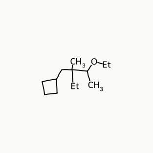 CCOC(C)C(C)(CC)CC1CCC1